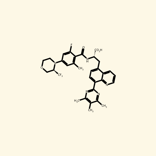 Cc1cc(N2CCOC[C@@H]2C(F)(F)F)cc(F)c1C(=O)N[C@@H](Cc1ccc(-c2nc(C)c(C)c(C)n2)c2ncccc12)C(=O)O